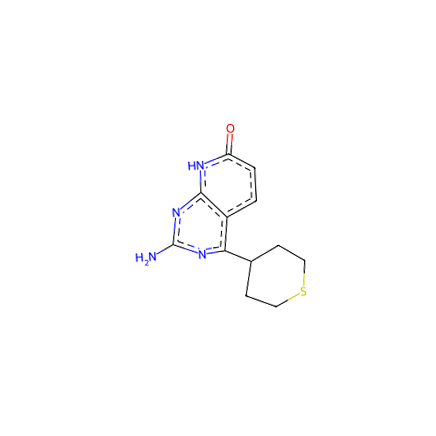 Nc1nc(C2CCSCC2)c2ccc(=O)[nH]c2n1